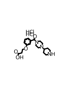 Cl.Cl.O=C(O)CCOc1cccc(C(=O)N2CCN(C3CCNCC3)CC2)c1